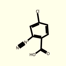 N#[N+]c1cc(Cl)ccc1C(=O)O